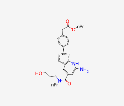 CCCOC(=O)Cc1ccc(-c2ccc3c(c2)NC(N)=CC(C(=O)N(CCC)CCCO)=C3)cc1